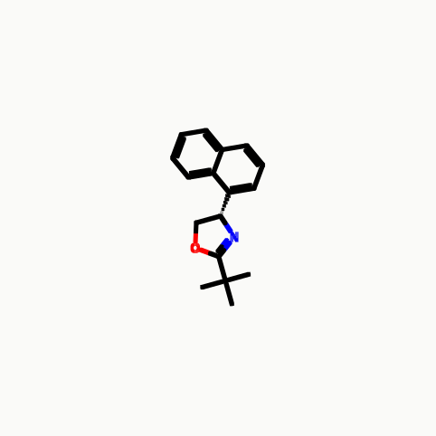 CC(C)(C)C1=N[C@@H](c2cccc3ccccc23)CO1